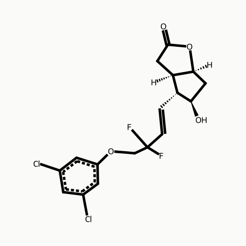 O=C1C[C@@H]2[C@@H](/C=C/C(F)(F)COc3cc(Cl)cc(Cl)c3)[C@H](O)C[C@@H]2O1